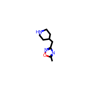 Cc1nc(CC2CCNCC2)no1